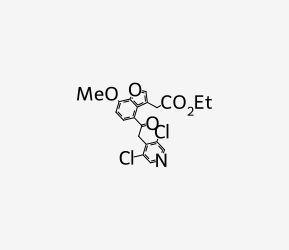 CCOC(=O)Cc1coc2c(OC)ccc(C(=O)Cc3c(Cl)cncc3Cl)c12